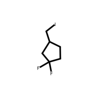 FC1(F)CCC(CI)C1